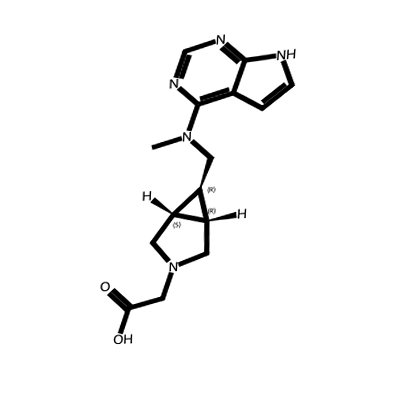 CN(C[C@H]1[C@@H]2CN(CC(=O)O)C[C@@H]21)c1ncnc2[nH]ccc12